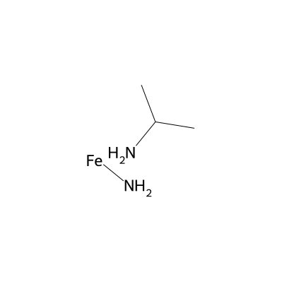 CC(C)N.[NH2][Fe]